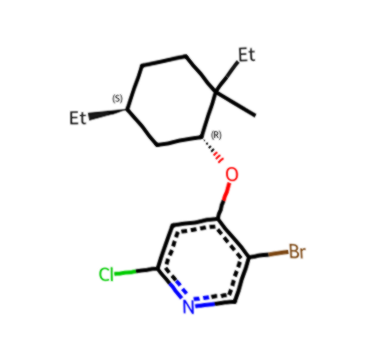 CC[C@H]1CCC(C)(CC)[C@H](Oc2cc(Cl)ncc2Br)C1